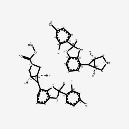 CC(C)(C)OC(=O)N1C[C@@H]2C(c3cccc4c3OC(C)(c3ccc(Cl)cc3F)O4)[C@@H]2C1.CC1(c2ccc(Cl)cc2F)Oc2cccc(C3[C@H]4CNC[C@@H]34)c2O1